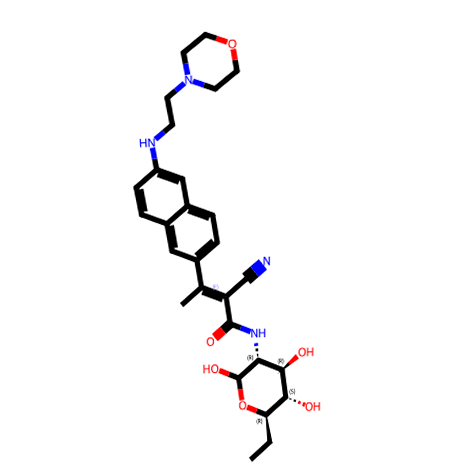 CC[C@H]1OC(O)[C@H](NC(=O)/C(C#N)=C(\C)c2ccc3cc(NCCN4CCOCC4)ccc3c2)[C@@H](O)[C@@H]1O